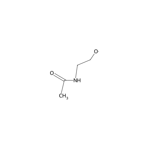 CC(=O)NCC[O]